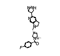 C[C@H]1C[C@@H](CN2CCc3cc(C4C=NNC4)ncc32)CN1C(=O)c1ccc(F)cc1